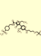 CCn1nc(C(=O)NCC2CCC(S(C)(=O)=O)CC2)c(Cl)c1-c1cnc(NCCCOCC(F)(F)F)cc1OC